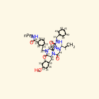 C=CCN1CC(=O)N2C(Cc3ccc(O)cc3)C(=O)N(Cc3cccc(C(=O)NCCC)c3)C[C@@H]2N1C(=O)NCc1ccccc1